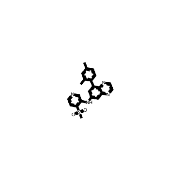 Cc1ccc(-c2cc(Nc3cnccc3S(C)(=O)=O)cc3nccnc23)c(C)c1